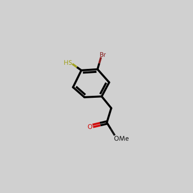 COC(=O)Cc1ccc(S)c(Br)c1